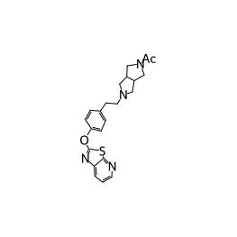 CC(=O)N1CC2CN(CCc3ccc(Oc4nc5cccnc5s4)cc3)CC2C1